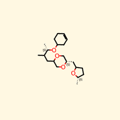 CC(CC1CO[C@@H](CC2CC[C@H](C)O2)CO1)[C@H](C)OC1CC=CCC1